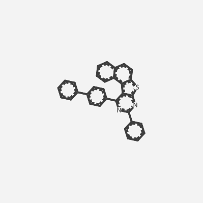 c1ccc(-c2ccc(-c3nc(-c4ccccc4)nc4sc5ccc6ccccc6c5c34)cc2)cc1